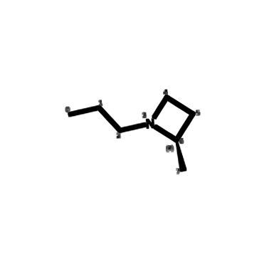 CCCN1CC[C@H]1C